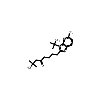 CC(C)(O)CC(=O)CCCCc1nc2ccc(C(F)(F)F)nc2n1C(C)(C)C(F)(F)F